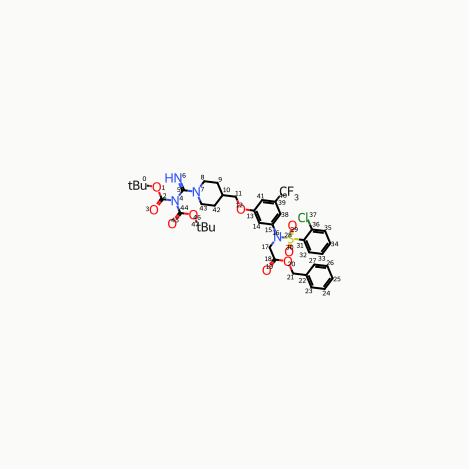 CC(C)(C)OC(=O)N(C(=N)N1CCC(COc2cc(N(CC(=O)OCc3ccccc3)S(=O)(=O)c3ccccc3Cl)cc(C(F)(F)F)c2)CC1)C(=O)OC(C)(C)C